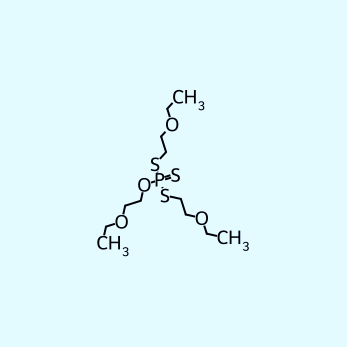 CCOCCOP(=S)(SCCOCC)SCCOCC